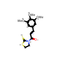 COc1cc(/C=C/C(=O)N2CCSC2=S)cc(OC)c1OC